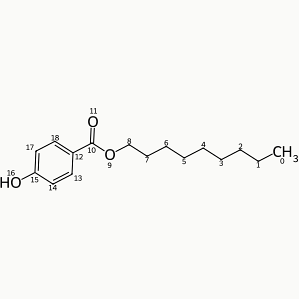 CCCCCCCCCOC(=O)c1ccc(O)cc1